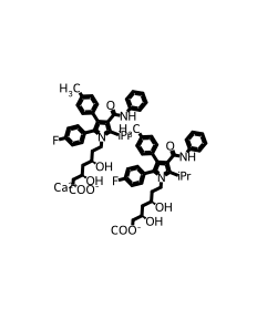 Cc1ccc(-c2c(C(=O)Nc3ccccc3)c(C(C)C)n(CC[C@@H](O)C[C@@H](O)CC(=O)[O-])c2-c2ccc(F)cc2)cc1.Cc1ccc(-c2c(C(=O)Nc3ccccc3)c(C(C)C)n(CC[C@@H](O)C[C@@H](O)CC(=O)[O-])c2-c2ccc(F)cc2)cc1.[Ca+2]